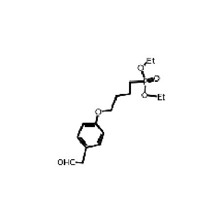 CCOP(=O)(CCCCOc1ccc(CC=O)cc1)OCC